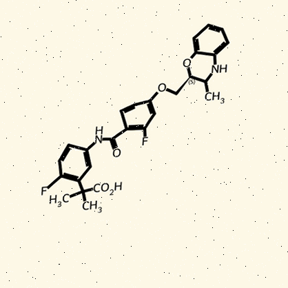 CC1Nc2ccccc2O[C@@H]1COc1ccc(C(=O)Nc2ccc(F)c(C(C)(C)C(=O)O)c2)c(F)c1